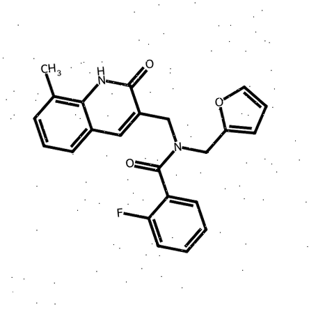 Cc1cccc2cc(CN(Cc3ccco3)C(=O)c3ccccc3F)c(=O)[nH]c12